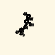 OCC1c2[nH]c3ccc(Cl)cc3c2CCN1CCNc1ccc(Cl)c(C(F)(F)F)n1